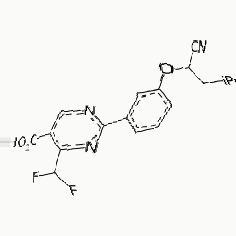 CC(C)CC(C#N)Oc1cccc(-c2ncc(C(=O)O)c(C(F)F)n2)c1